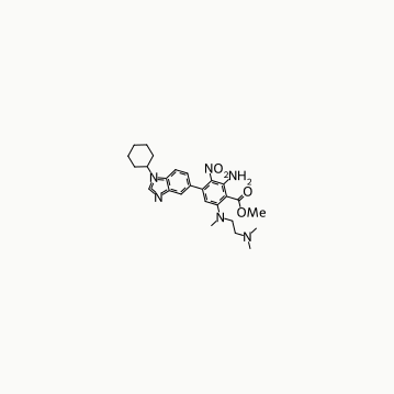 COC(=O)c1c(N(C)CCN(C)C)cc(-c2ccc3c(c2)ncn3C2CCCCC2)c([N+](=O)[O-])c1N